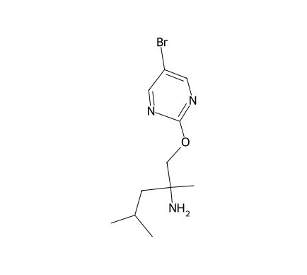 CC(C)CC(C)(N)COc1ncc(Br)cn1